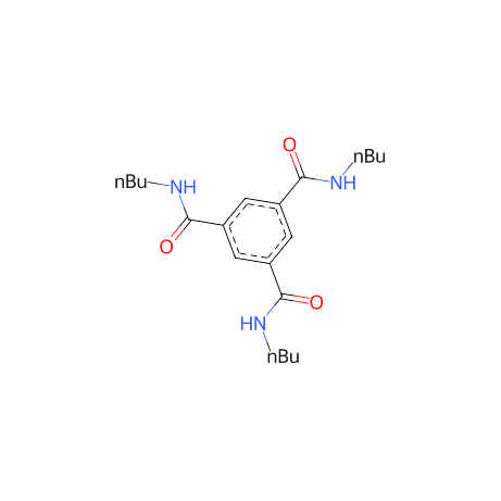 CCCCNC(=O)c1cc(C(=O)NCCCC)cc(C(=O)NCCCC)c1